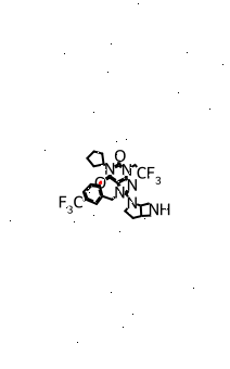 O=c1c2c(nc(N3CCC4CNCC43)n2Cc2cccc(C(F)(F)F)c2)n(CC(F)(F)F)c(=O)n1C1CCCC1